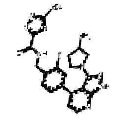 CC(C)(C)c1noc(C(=O)NCc2ccc(-c3ccnc4[nH]nc(N5CCC(N)C5)c34)cc2F)n1